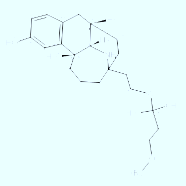 CC(C)(C)OCCC(C)(C)OCCC12CCC[C@]3(C)c4cc(O)ccc4C[C@H](CC1)[C@@H]3N2